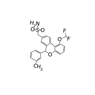 Cc1cccc(C2Oc3cccc(OC(F)F)c3-c3ccc(CS(N)(=O)=O)cc32)c1